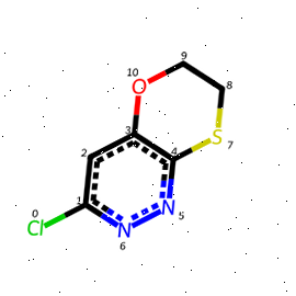 Clc1cc2c(nn1)SCCO2